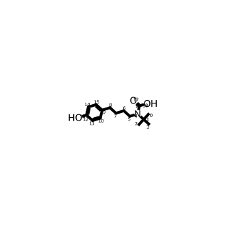 CC(C)(C)N(CCCCc1ccc(O)cc1)C(=O)O